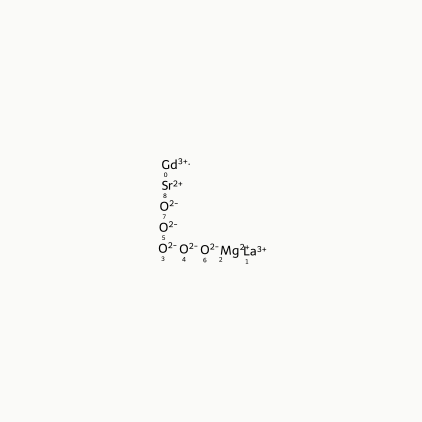 [Gd+3].[La+3].[Mg+2].[O-2].[O-2].[O-2].[O-2].[O-2].[Sr+2]